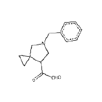 O=CC(=O)C1CN(Cc2ccccc2)CC12CC2